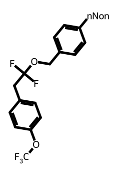 CCCCCCCCCc1ccc(COC(F)(F)Cc2ccc(OC(F)(F)F)cc2)cc1